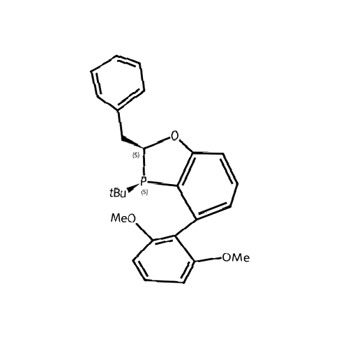 COc1cccc(OC)c1-c1cccc2c1[P@@](C(C)(C)C)[C@@H](Cc1ccccc1)O2